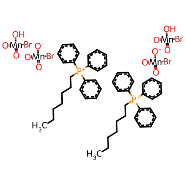 CCCCCCC[P+](c1ccccc1)(c1ccccc1)c1ccccc1.CCCCCCC[P+](c1ccccc1)(c1ccccc1)c1ccccc1.[O]=[Mn](=[O])([O-])[Br].[O]=[Mn](=[O])([O-])[Br].[O]=[Mn](=[O])([OH])[Br].[O]=[Mn](=[O])([OH])[Br]